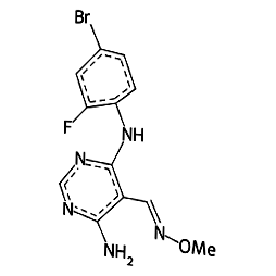 CON=Cc1c(N)ncnc1Nc1ccc(Br)cc1F